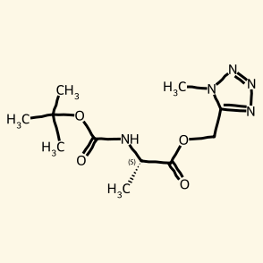 C[C@H](NC(=O)OC(C)(C)C)C(=O)OCc1nnnn1C